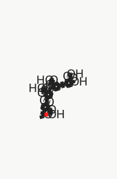 CCC(C)(C)c1ccc(S(=O)(=O)c2ccc(Oc3ccc(C(C)(C)c4ccc(O)c(S(=O)(=O)O)c4)cc3S(=O)(=O)O)c(S(=O)(=O)O)c2)cc1S(=O)(=O)O